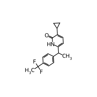 CC(c1ccc(C(C)(F)F)cc1)c1ccc(C2CC2)c(=O)[nH]1